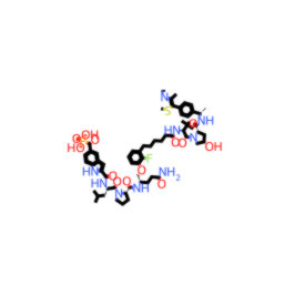 C=N/C(C)=C(\SC)c1ccc([C@H](C)NC(=O)[C@@H]2C[C@@H](O)CN2C(=O)[C@@H](NC(=O)CCCCCc2cccc(OC[C@H](CCC(N)=O)NC(=O)[C@@H]3CCCN3C(=O)[C@H](CC(C)C)NC(=O)c3cc4cc(C(=O)P(=O)(O)O)ccc4[nH]3)c2F)C(C)(C)C)cc1